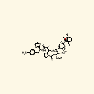 CC[C@H](C)[C@@H]([C@@H](CC(=O)N1CCC[C@H]1[C@H](OC)[C@@H](C)C(=O)N[C@@H](Cc1ccc(N)cc1)c1nccs1)OC)N(C)C(=O)[C@@H](NC(=O)[C@@H]1[C@H]2CC[C@@H]([C@H]2C)N1C)C(C)C